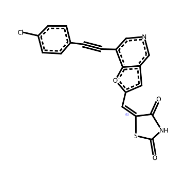 O=C1NC(=O)/C(=C\c2cc3cncc(C#Cc4ccc(Cl)cc4)c3o2)S1